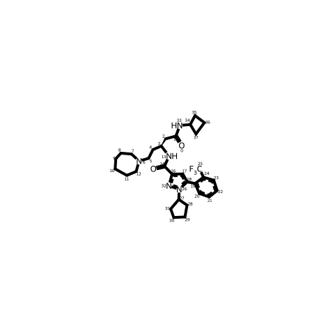 O=C(C[C@H](CCN1CCCCCC1)NC(=O)c1cc(-c2ccccc2C(F)(F)F)n(C2CCCC2)n1)NC1CCC1